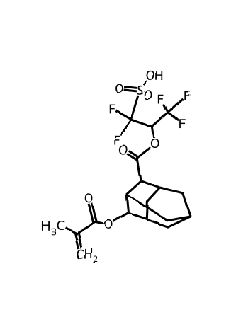 C=C(C)C(=O)OC1C2CC3CC(C2)C(C(=O)OC(C(F)(F)F)C(F)(F)S(=O)(=O)O)C1C3